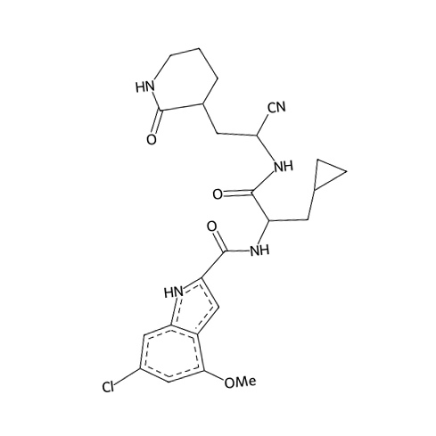 COc1cc(Cl)cc2[nH]c(C(=O)NC(CC3CC3)C(=O)NC(C#N)CC3CCCNC3=O)cc12